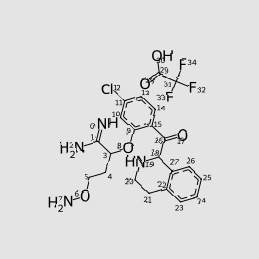 N=C(N)C(CCON)Oc1cc(Cl)ccc1C(=O)C1NCCc2ccccc21.O=C(O)C(F)(F)F